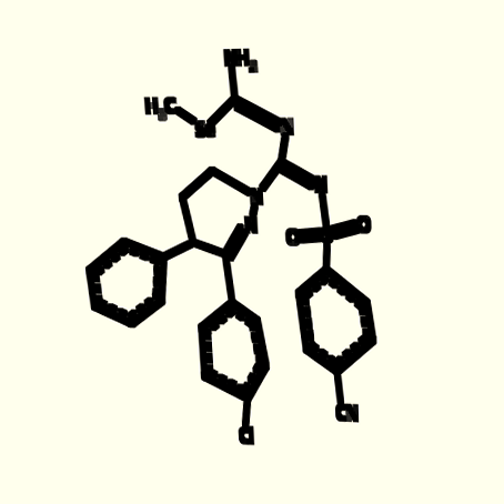 C[Se]/C(N)=N\C(=N\S(=O)(=O)c1ccc(C#N)cc1)N1CCC(c2ccccc2)C(c2ccc(Cl)cc2)=N1